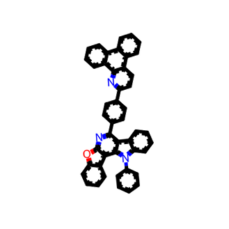 c1ccc(-n2c3ccccc3c3c(-c4ccc(-c5ccc6c7ccccc7c7ccccc7c6n5)cc4)nc4oc5ccccc5c4c32)cc1